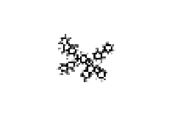 CC1(C)c2ccccc2-c2ccc(N(c3ccc4ccccc4c3)c3ccc4c(c3)c3c5ccccc5c5c6ccccc6sc5c3n4-c3ccc(-c4ccccc4)cc3)cc21